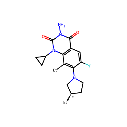 C[CH][C@@H]1CCN(c2c(F)cc3c(=O)n(N)c(=O)n(C4CC4)c3c2CC)C1